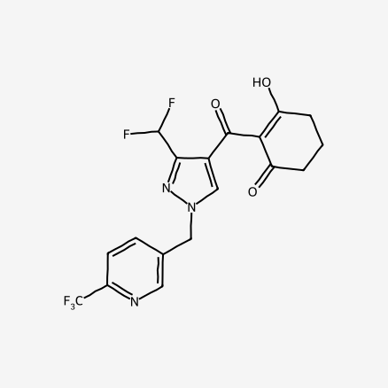 O=C1CCCC(O)=C1C(=O)c1cn(Cc2ccc(C(F)(F)F)nc2)nc1C(F)F